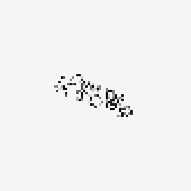 O=C(Nc1cccc(C(F)(F)F)c1)c1cccc(NS(=O)(=O)c2cccs2)c1